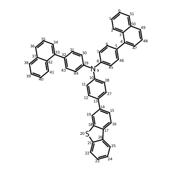 c1ccc2c(-c3ccc(N(c4ccc(-c5ccc6c(c5)sc5ccccc56)cc4)c4ccc(-c5cccc6ccccc56)cc4)cc3)cccc2c1